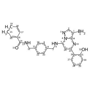 Bc1cnn2c(NCc3ccc(CNC(=O)C(/C=C\C)=C/C)cc3)cc(-c3ccccc3O)nc12